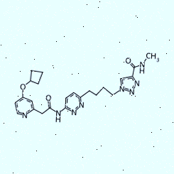 CNC(=O)c1cn(CCCCc2ccc(NC(=O)Cc3cc(OC4CCC4)ccn3)nn2)nn1